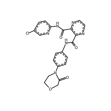 O=C(Nc1ccc(N2CCOCC2=O)cc1)c1nccnc1C(=O)Nc1ccc(Cl)cn1